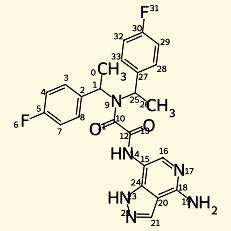 CC(c1ccc(F)cc1)N(C(=O)C(=O)Nc1cnc(N)c2cn[nH]c12)C(C)c1ccc(F)cc1